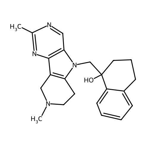 Cc1ncc2c(n1)c1c(n2CC2(O)CCCc3ccccc32)CCN(C)C1